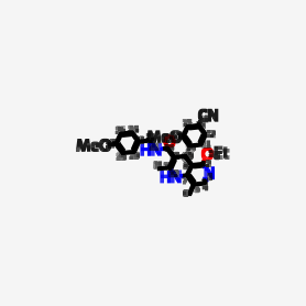 CCOc1ncc(C)c2c1[C@@H](c1ccc(C#N)cc1OC)C(C(=O)NCc1ccc(OC)cc1)=C(C)N2